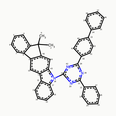 CC1(C)c2ccccc2-c2cc3c4ccccc4n(-c4nc(-c5ccccc5)nc(-c5ccc(-c6ccccc6)cc5)n4)c3cc21